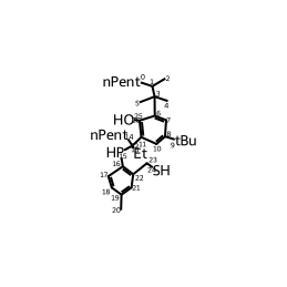 CCCCCC(C)C(C)(C)c1cc(C(C)(C)C)cc(C(CC)(CCCCC)Pc2ccc(C)cc2CS)c1O